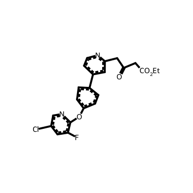 CCOC(=O)CC(=O)Cc1cc(-c2ccc(Oc3ncc(Cl)cc3F)cc2)ccn1